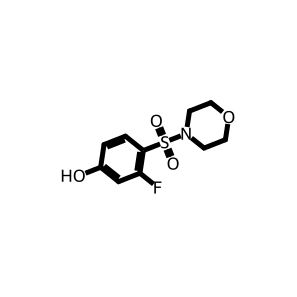 O=S(=O)(c1ccc(O)cc1F)N1CCOCC1